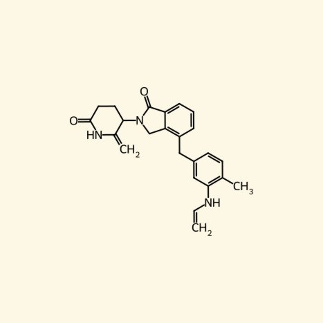 C=CNc1cc(Cc2cccc3c2CN(C2CCC(=O)NC2=C)C3=O)ccc1C